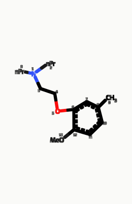 CCCN(CCC)CCOc1cc(C)ccc1OC